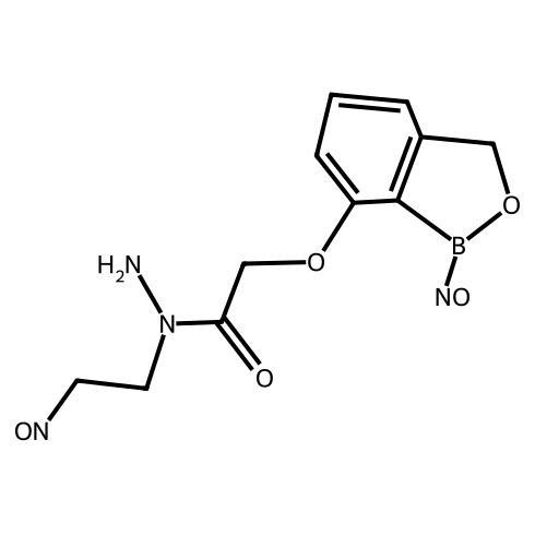 NN(CCN=O)C(=O)COc1cccc2c1B(N=O)OC2